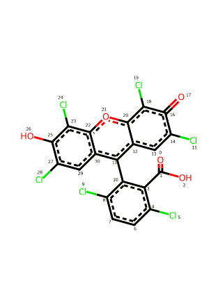 O=C(O)c1c(Cl)ccc(Cl)c1-c1c2cc(Cl)c(=O)c(Cl)c-2oc2c(Cl)c(O)c(Cl)cc12